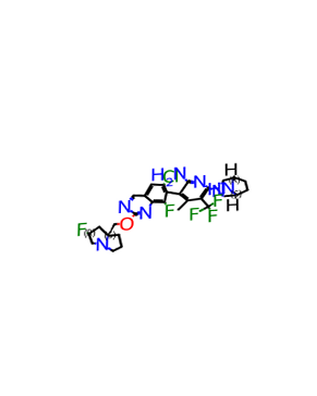 Cc1c(-c2c(Cl)cc3cnc(OC[C@@]45CCCN4C[C@H](F)C5)nc3c2F)c(N)nc(N2C[C@H]3CC[C@@H](C2)N3)c1C(F)(F)F